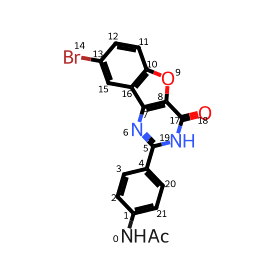 CC(=O)Nc1ccc(-c2nc3c(oc4ccc(Br)cc43)c(=O)[nH]2)cc1